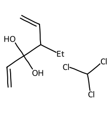 C=CC(CC)C(O)(O)C=C.ClC(Cl)Cl